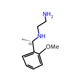 COc1ccccc1[C@H](C)NCCN